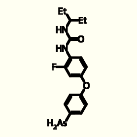 CCC(CC)NC(=O)Nc1ccc(Oc2ccc([AsH2])cc2)cc1F